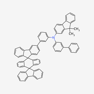 CC1(C)c2ccccc2-c2ccc(N(c3cccc(-c4ccccc4)c3)c3cccc(-c4ccc5c(c4)-c4ccccc4C54c5ccccc5C5(c6ccccc6-c6ccccc65)c5ccccc54)c3)cc21